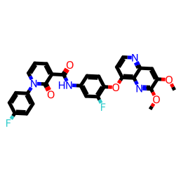 COc1cc2nccc(Oc3ccc(NC(=O)c4cccn(-c5ccc(F)cc5)c4=O)cc3F)c2nc1OC